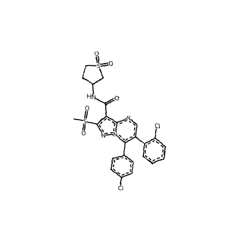 CS(=O)(=O)c1nn2c(-c3ccc(Cl)cc3)c(-c3ccccc3Cl)cnc2c1C(=O)NC1CCS(=O)(=O)C1